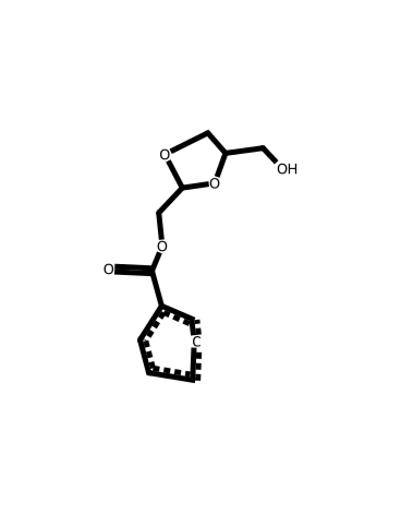 O=C(OCC1OCC(CO)O1)c1ccccc1